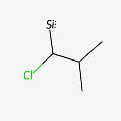 CC(C)C([Si])Cl